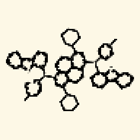 Cc1ccc(N(c2cc(C3CCCCC3)c3ccc4c(N(c5ccc(C)cc5)c5cccc6c5oc5ccccc56)cc(C5CCCCC5)c5ccc2c3c54)c2cccc3c2oc2ccccc23)cc1